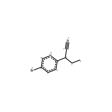 CCC(C#N)c1ccc(Br)cn1